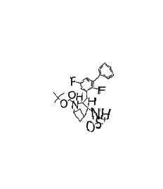 C[S+]([O-])N[C@H]1C2CC(C2)N(C(=O)OC(C)(C)C)[C@H]1Cc1cc(F)cc(-c2ccccc2)c1F